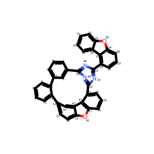 c1cc2cc(c1)c1ccccc1c1ccc3oc4cccc(c5nc(-c6cccc7oc8ccccc8c67)nc2n5)c4c3c1